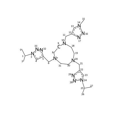 CC(C)n1cc(CN2CCN(Cc3cn(C)nn3)CCN(Cc3cn(C(C)C)nn3)CC2)nn1